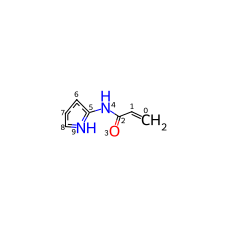 C=CC(=O)Nc1ccc[nH]1